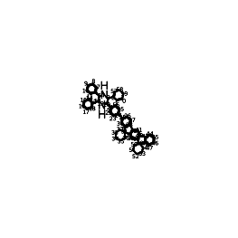 C1=CC(C2NC(c3ccccc3)C(c3ccccc3)NC2c2ccc(-c3ccc4c(c3)C3(CCCCC3)c3cc5c(cc3-4)-c3ccccc3C53CCCCC3)cc2)=CCC1